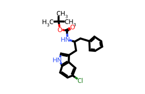 CC(C)(C)OC(=O)NC(Cc1ccccc1)Cc1c[nH]c2ccc(Cl)cc12